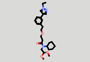 CCn1cc(-c2cccc(CCOCCC(=O)N(CC(OC)OC)C3CCCCC3)c2)cn1